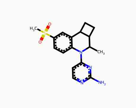 CC1C2CCC2c2cc(S(C)(=O)=O)ccc2N1c1ccnc(N)n1